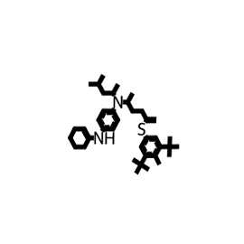 C=C(CCC(C)N(c1ccc(NC2=CCCCC2)cc1)C(C)CC(C)C)Sc1cc(C(C)(C)C)c(C)c(C(C)(C)C)c1